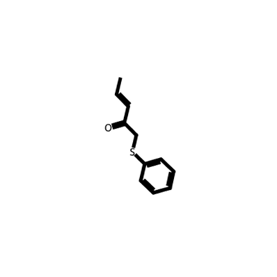 CC=CC(=O)CSc1ccccc1